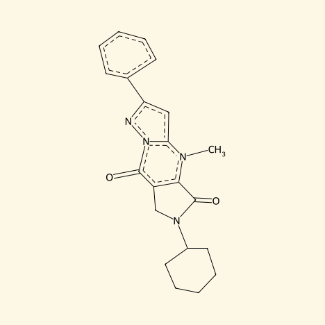 Cn1c2c(c(=O)n3nc(-c4ccccc4)cc13)CN(C1CCCCC1)C2=O